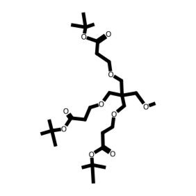 COCC(COCCC(=O)OC(C)(C)C)(COCCC(=O)OC(C)(C)C)COCCC(=O)OC(C)(C)C